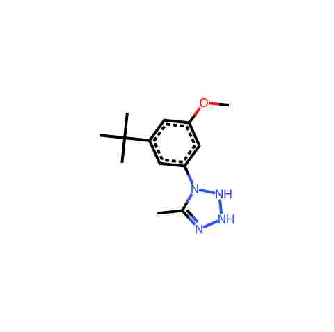 COc1cc(N2NNN=C2C)cc(C(C)(C)C)c1